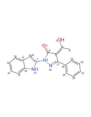 C/C(O)=C1/C(=O)N(c2nc3ccccc3[nH]2)N=C1c1ccccc1